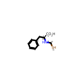 O=C(O)[C@H](Cc1ccccc1)NCS